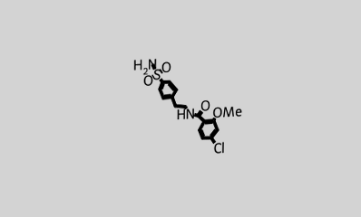 COc1cc(Cl)ccc1C(=O)NCCc1ccc(S(N)(=O)=O)cc1